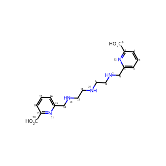 O=C(O)c1cccc(CNCCNCCNCc2cccc(C(=O)O)n2)n1